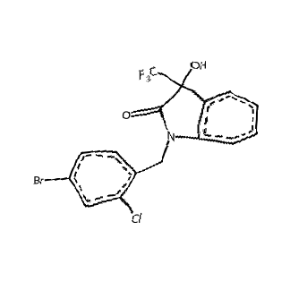 O=C1N(Cc2ccc(Br)cc2Cl)c2ccccc2C1(O)C(F)(F)F